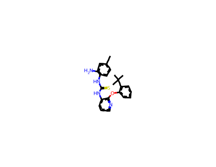 Cc1ccc(NC(=S)Nc2cccnc2Oc2ccccc2C(C)(C)C)c(N)c1